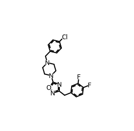 Fc1ccc(Cc2noc(N3CCN(Cc4ccc(Cl)cc4)CC3)n2)cc1F